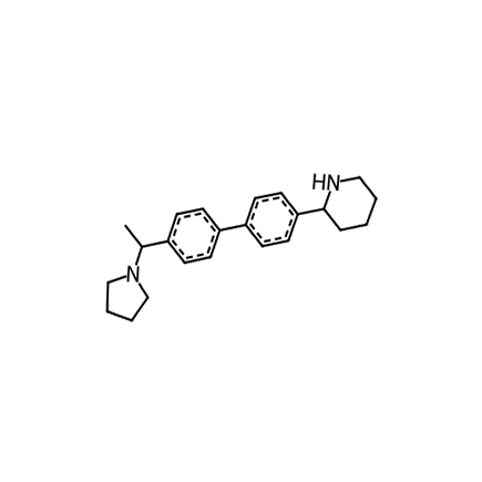 CC(c1ccc(-c2ccc(C3CCCCN3)cc2)cc1)N1CCCC1